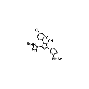 CC(=O)Nc1cc(-c2sc(-c3nnc(Br)[nH]3)c(-c3ccc(Cl)cc3Cl)c2C#N)ccn1